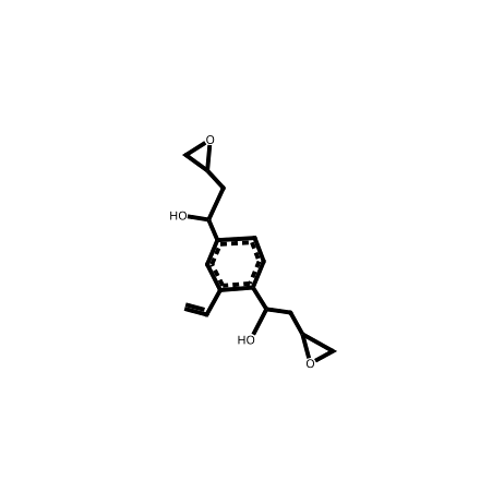 C=Cc1cc(C(O)CC2CO2)ccc1C(O)CC1CO1